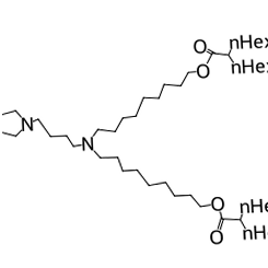 CCCCCCC(CCCCCC)C(=O)OCCCCCCCCCN(CCCCCCCCCOC(=O)C(CCCCCC)CCCCCC)CCCCN1CCCC1